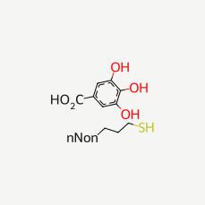 CCCCCCCCCCCCS.O=C(O)c1cc(O)c(O)c(O)c1